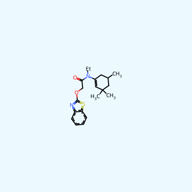 CCN(C(=O)COc1nc2ccccc2s1)C1=CC(C)(C)CC(C)C1